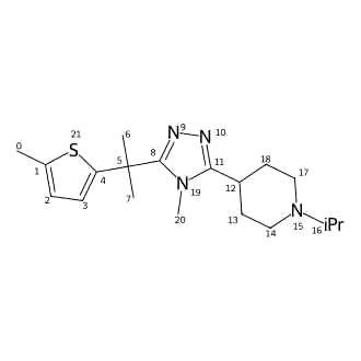 Cc1ccc(C(C)(C)c2nnc(C3CCN(C(C)C)CC3)n2C)s1